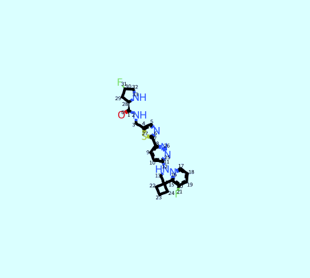 O=C(NCc1cnc(-c2ccc(NCC3(c4ncccc4F)CCC3)nn2)s1)[C@H]1C[C@@H](F)CN1